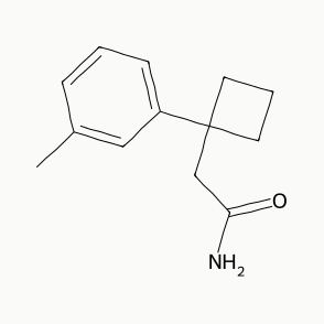 Cc1cccc(C2(CC(N)=O)CCC2)c1